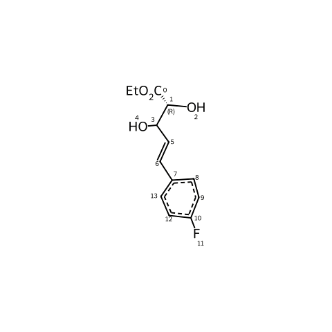 CCOC(=O)[C@H](O)C(O)C=Cc1ccc(F)cc1